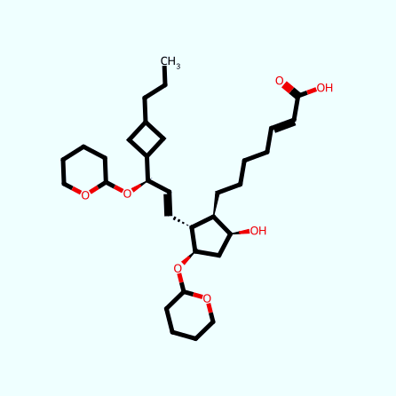 CCCC1CC([C@@H](/C=C/[C@@H]2[C@@H](CCCC/C=C/C(=O)O)[C@@H](O)C[C@H]2OC2CCCCO2)OC2CCCCO2)C1